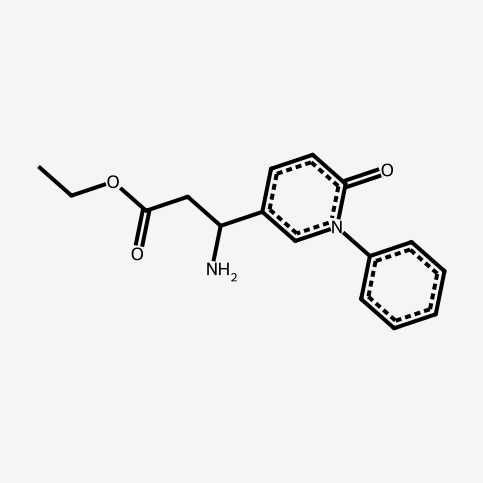 CCOC(=O)CC(N)c1ccc(=O)n(-c2ccccc2)c1